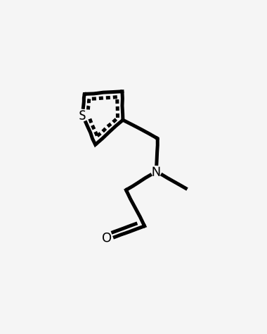 CN(CC=O)Cc1ccsc1